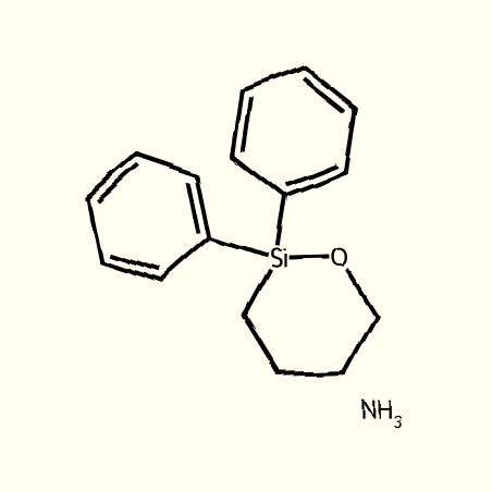 N.c1ccc([Si]2(c3ccccc3)CCCCO2)cc1